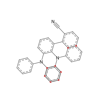 N#Cc1ccccc1-c1cccc(N(c2ccccc2)c2ccccc2)c1N(c1ccccc1)c1ccccc1